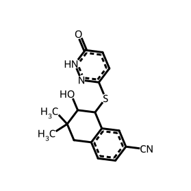 CC1(C)Cc2ccc(C#N)cc2C(Sc2ccc(=O)[nH]n2)C1O